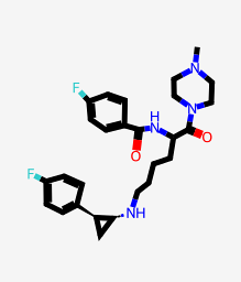 CN1CCN(C(=O)C(CCCCN[C@@H]2C[C@H]2c2ccc(F)cc2)NC(=O)c2ccc(F)cc2)CC1